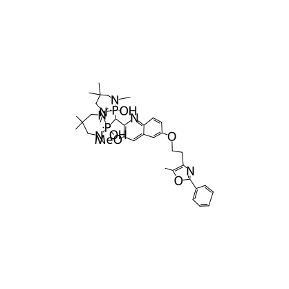 COc1cc2cc(OCCc3nc(-c4ccccc4)oc3C)ccc2nc1C([P]1(O)N(C)CC(C)(C)CN1C)[P]1(O)N(C)CC(C)(C)CN1C